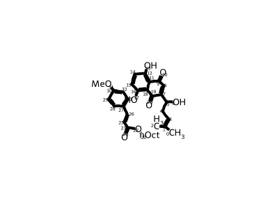 CC(C)=CCC(O)C1=CC(=O)c2c(O)ccc(O)c2C1=O.CCCCCCCCOC(=O)C=Cc1ccc(OC)cc1